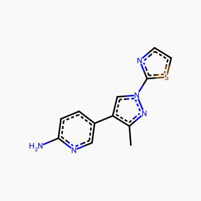 Cc1nn(-c2nccs2)cc1-c1ccc(N)nc1